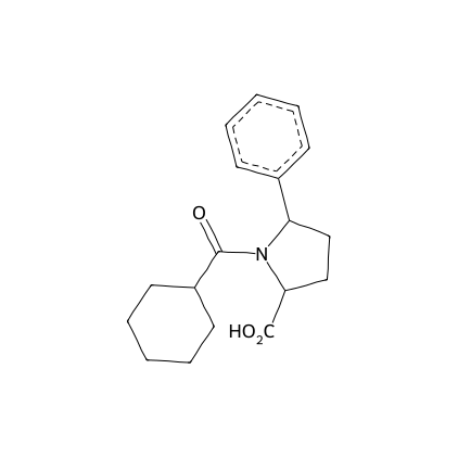 O=C(O)C1CCC(c2ccccc2)N1C(=O)C1CCCCC1